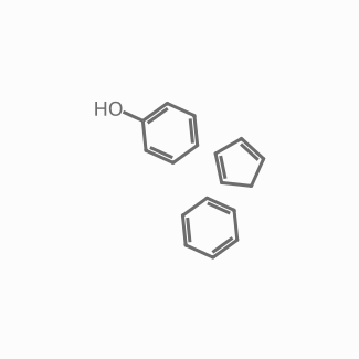 C1=CCC=C1.Oc1ccccc1.c1ccccc1